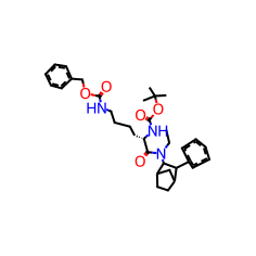 CCN(C(=O)[C@H](CCCCNC(=O)OCc1ccccc1)NC(=O)OC(C)(C)C)C1C2CCC(C2)C1c1ccccc1